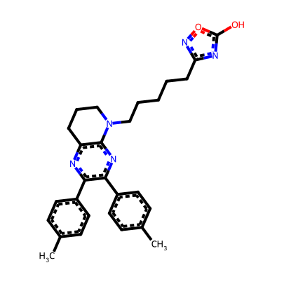 Cc1ccc(-c2nc3c(nc2-c2ccc(C)cc2)N(CCCCCc2noc(O)n2)CCC3)cc1